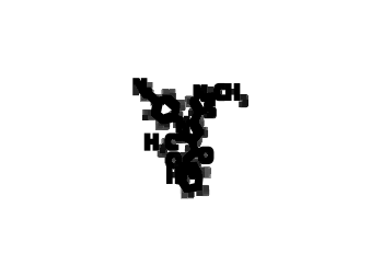 Cc1ncc(-c2cc(C(=O)CN3C4CCC3[C@@H](O)C4)c(C)n2-c2ccc(C#N)cc2)s1